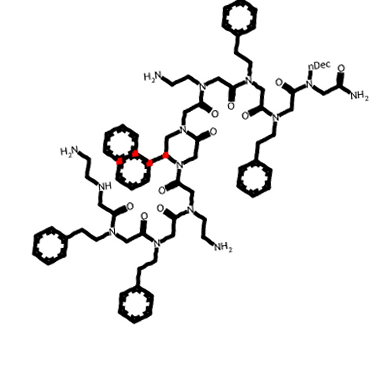 CCCCCCCCCCN(CC(N)=O)C(=O)CN(CCc1ccccc1)C(=O)CN(CCc1ccccc1)C(=O)CN(CCN)C(=O)CN(CCc1ccccc1)C(=O)CN(CCc1ccccc1)C(=O)CN(CCN)C(=O)CN(CCc1ccccc1)C(=O)CN(CCc1ccccc1)C(=O)CNCCN